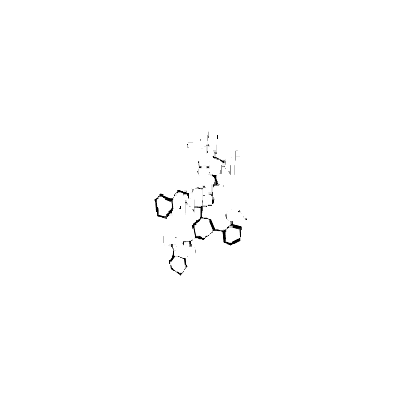 CCNC(=O)[C@@H](NC(=O)[C@H](C)NC[C@H](Cc1ccccc1)NC(=O)c1cc(C(=O)N[C@H](C)c2ccccc2)cc(-c2ccccc2C#N)c1)C(C)C